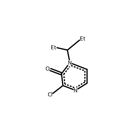 CCC(CC)n1ccnc(Cl)c1=O